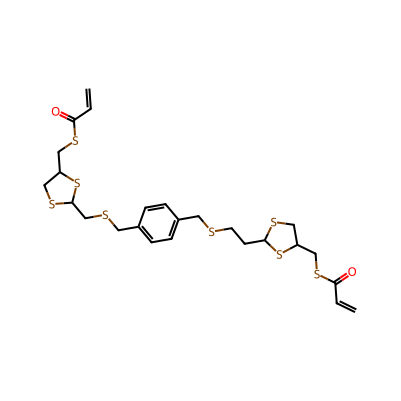 C=CC(=O)SCC1CSC(CCSCc2ccc(CSCC3SCC(CSC(=O)C=C)S3)cc2)S1